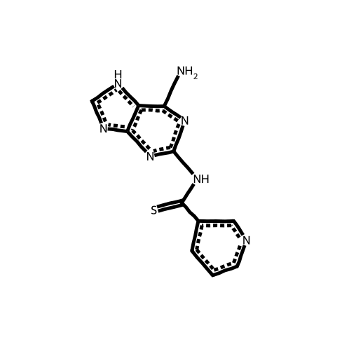 Nc1nc(NC(=S)c2cccnc2)nc2nc[nH]c12